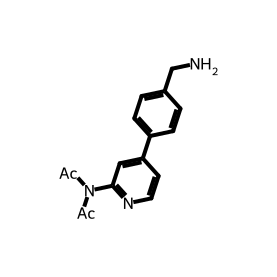 CC(=O)N(C(C)=O)c1cc(-c2ccc(CN)cc2)ccn1